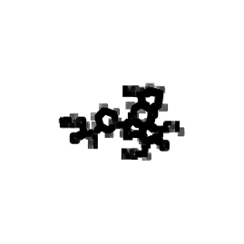 Cn1c(=O)c2c(nc(N3CCCC(NC(=O)OC(C)(C)C)C3)n2Cc2ccccc2C#N)n(CC#N)c1=O